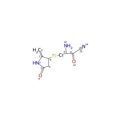 C=C1NC(=O)CC1SCC(N)C(=O)C#N